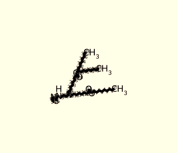 CCCCCCCCCOC(=O)CCCCCCCN(CCCCCCCC(=O)OC(CCCCCCCC)CCCCCCCC)CCCNc1nccs1